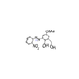 COc1cc(CO)c(O)c(/N=N/c2ccccc2[N+](=O)[O-])c1